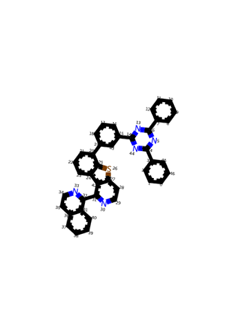 c1ccc(-c2nc(-c3ccccc3)nc(-c3cccc(-c4cccc5c4sc4ccnc(-c6nccc7ccccc67)c45)c3)n2)cc1